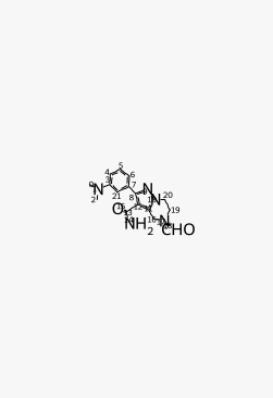 CN(C)c1cccc(-c2nn3c(c2C(N)=O)CN(C=O)CC3)c1